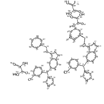 Clc1cccc(C(c2ccc3nnn(OCc4ccccc4)c3c2)n2ccnc2)c1.Clc1cccc(C(c2ccc3nnn(OCc4ccccc4)c3c2)n2ccnc2)c1.O=C(O)C(=O)O.O=C(O)C(=O)O.O=C(O)C(=O)O